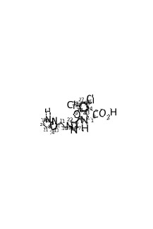 O=C(O)C[C@H](NC(=O)c1cnn(CCc2ccc3c(n2)NCCC3)c1)c1cc(Cl)cc(Cl)c1